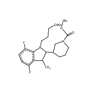 COCCCN1c2c(F)ccc(F)c2C(C)C1C1CCCN(C(=O)OC(C)(C)C)C1